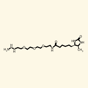 C[C@@H]1NC(=O)N[C@@H]1CCCCCC(=O)NCCOCCOCCOCCNNN